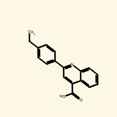 CCc1ccc(-c2cc(C(=O)O)c3ccccc3n2)cc1